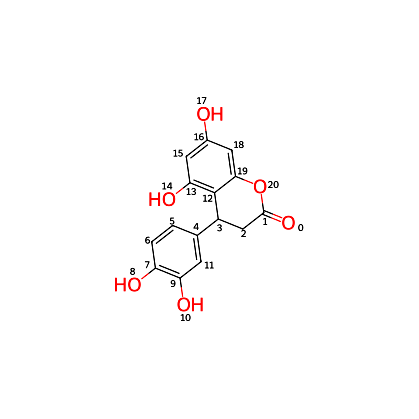 O=C1CC(c2ccc(O)c(O)c2)c2c(O)cc(O)cc2O1